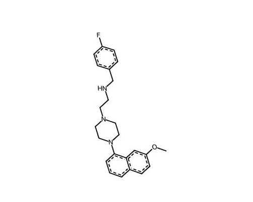 COc1ccc2cccc(N3CCN(CCNCc4ccc(F)cc4)CC3)c2c1